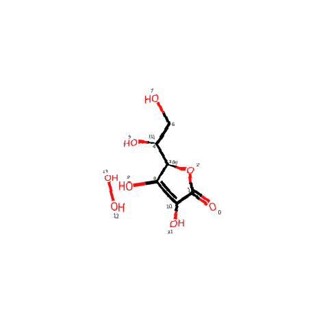 O=C1O[C@H]([C@@H](O)CO)C(O)=C1O.OO